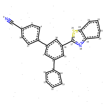 N#Cc1ccc(-c2cc(-c3ccccc3)cc(-c3nc4ccccc4s3)c2)cc1